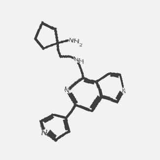 NC1(CNc2nc(-c3ccncc3)cc3cnccc23)CCCC1